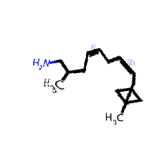 CC(CN)C/C=C\C/C=C\C12CC1(C)C2